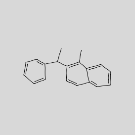 Cc1c(C(C)c2ccccc2)ccc2ccccc12